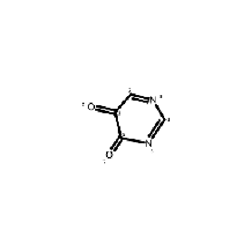 O=C1C=NC=NC1=O